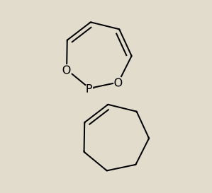 C1=CCCCCC1.C1=CO[P]OC=C1